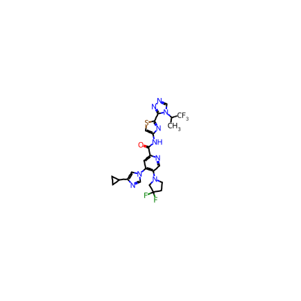 CC(n1cnnc1-c1nc(NC(=O)c2cc(-n3cnc(C4CC4)c3)c(N3CCC(F)(F)C3)cn2)cs1)C(F)(F)F